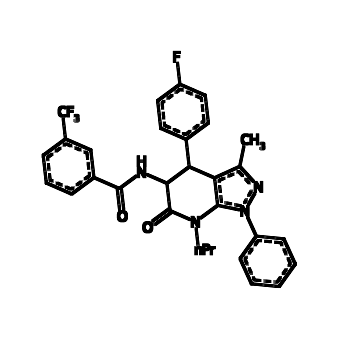 CCCN1C(=O)C(NC(=O)c2cccc(C(F)(F)F)c2)C(c2ccc(F)cc2)c2c(C)nn(-c3ccccc3)c21